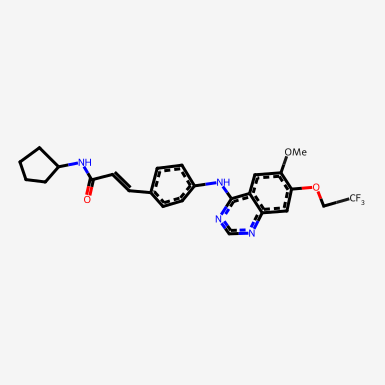 COc1cc2c(Nc3ccc(C=CC(=O)NC4CCCC4)cc3)ncnc2cc1OCC(F)(F)F